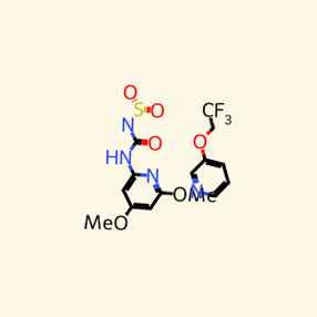 COc1cc(NC(=O)N=S(=O)=O)nc(OC)c1.FC(F)(F)COc1cccnc1